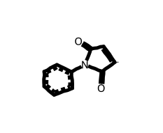 O=C1[C]=CC(=O)N1c1ccccc1